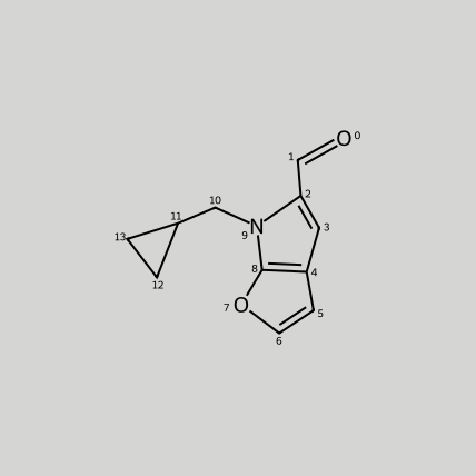 O=Cc1cc2ccoc2n1CC1CC1